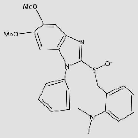 COc1cc2nc([S+]([O-])Cc3ccccc3N(C)C)n(-c3ccccc3)c2cc1OC